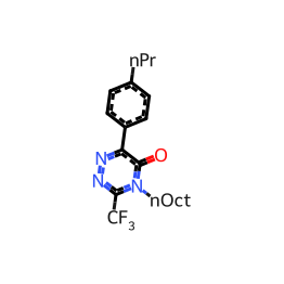 CCCCCCCCn1c(C(F)(F)F)nnc(-c2ccc(CCC)cc2)c1=O